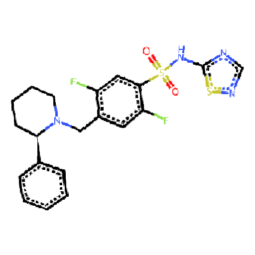 O=S(=O)(Nc1ncns1)c1cc(F)c(CN2CCCC[C@@H]2c2ccccc2)cc1F